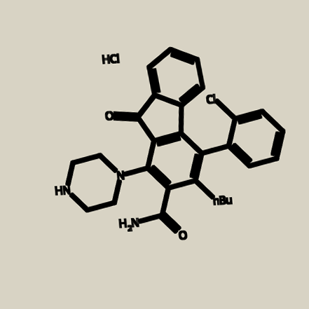 CCCCc1c(C(N)=O)c(N2CCNCC2)c2c(c1-c1ccccc1Cl)-c1ccccc1C2=O.Cl